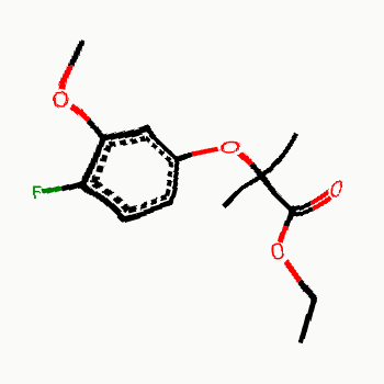 CCOC(=O)C(C)(C)Oc1ccc(F)c(OC)c1